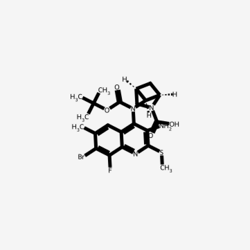 CSc1nc2c(F)c(Br)c(C)cc2c(N(C(=O)OC(C)(C)C)[C@H]2[C@@H]3C[C@H]2N(C(=O)O)C3)c1N